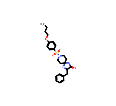 CCCCOc1ccc(S(=O)(=O)N2CCC3(CC2)[N]C(=O)C(Cc2ccccc2)N3)cc1